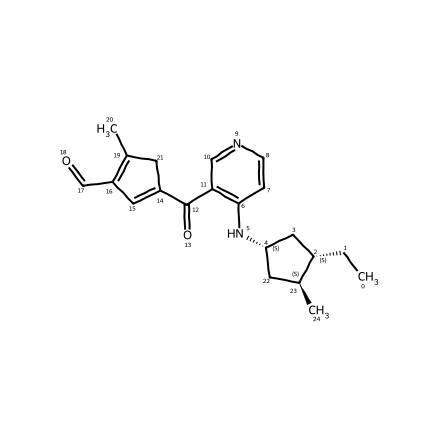 CC[C@H]1C[C@@H](Nc2ccncc2C(=O)C2=CC(C=O)=C(C)C2)C[C@@H]1C